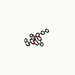 c1ccc(-c2ccc(-c3ccc(N(c4cccc(-c5ccccc5-c5ccccc5)c4)c4ccccc4-c4cccc(-c5cccc6ccccc56)c4)cc3)cc2)cc1